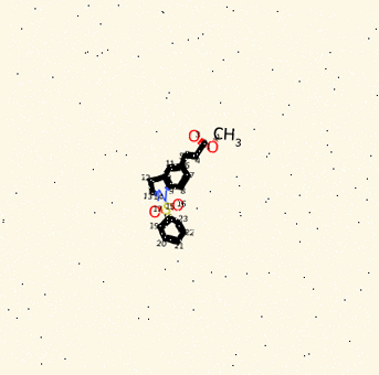 COC(=O)C=Cc1ccc2c(c1)CCN2S(=O)(=O)c1ccccc1